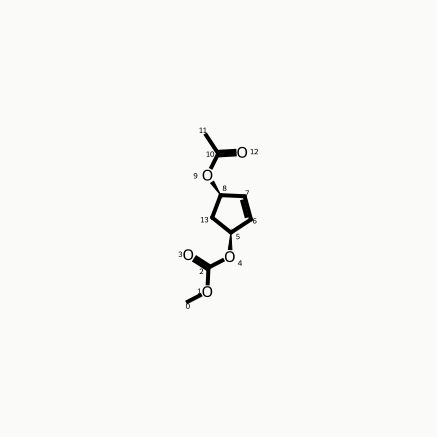 COC(=O)O[C@@H]1C=C[C@H](OC(C)=O)C1